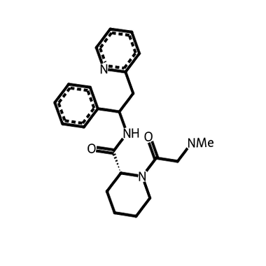 CNCC(=O)N1CCCC[C@@H]1C(=O)NC(Cc1ccccn1)c1ccccc1